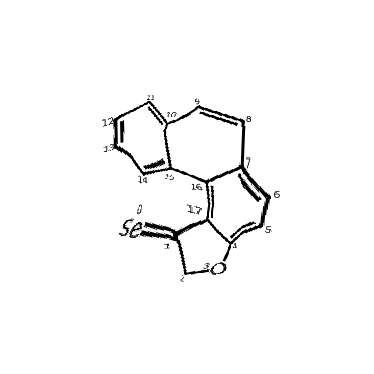 [Se]=C1COc2ccc3ccc4ccccc4c3c21